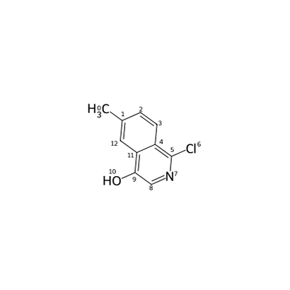 Cc1ccc2c(Cl)ncc(O)c2c1